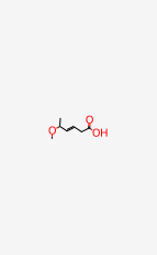 COC(C)C=CCC(=O)O